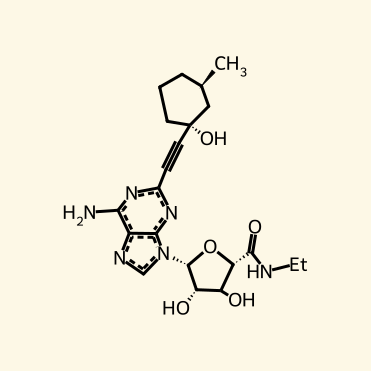 CCNC(=O)[C@H]1O[C@@H](n2cnc3c(N)nc(C#C[C@@]4(O)CCC[C@@H](C)C4)nc32)[C@@H](O)C1O